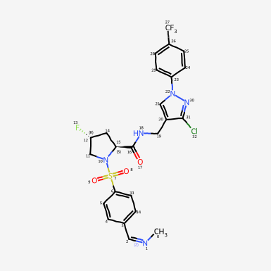 C/N=C\c1ccc(S(=O)(=O)N2C[C@H](F)C[C@H]2C(=O)NCc2cn(-c3ccc(C(F)(F)F)cc3)nc2Cl)cc1